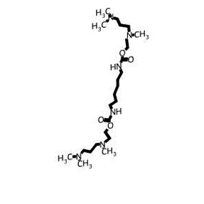 CN(C)CCCN(C)CCOC(=O)NCCCCCCNC(=O)OCCN(C)CCCN(C)C